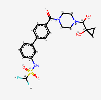 O=C(c1ccc(-c2cccc(NS(=O)(=O)C(F)F)c2)cc1)N1CCN(C(O)C2(O)CC2)CC1